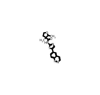 CC1OCCC1(C)C(=O)Nc1ncc(-c2ccc3nnccc3c2)s1